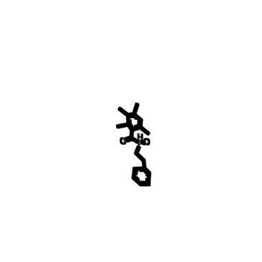 Cc1cc(C)c(C(=O)[PH](=O)CCc2ccccc2)c(C)c1C